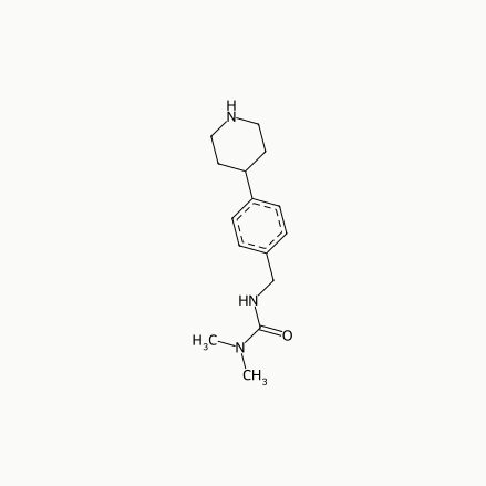 CN(C)C(=O)NCc1ccc(C2CCNCC2)cc1